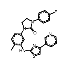 Cc1ccc(N2CCN(c3ccc(F)cc3)C2=O)cc1Nc1nc(-c2cccnc2)cs1